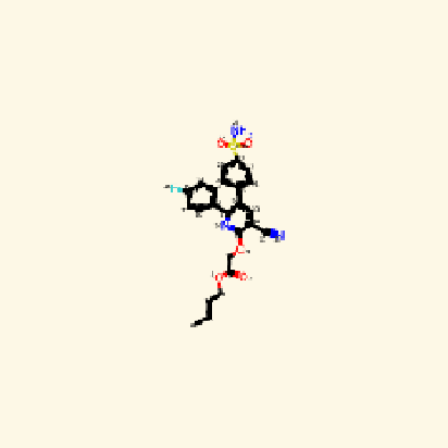 CCCCOC(=O)COc1nc(-c2ccc(F)cc2)c(-c2ccc(S(N)(=O)=O)cc2)cc1C#N